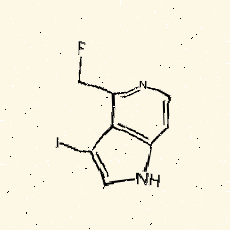 FCc1nccc2[nH]cc(I)c12